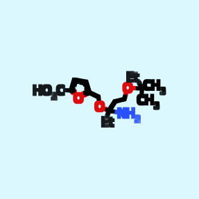 CCC(C)(C)OCCC(N)(CC)OCc1ccc(C(=O)O)o1